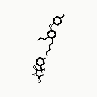 CCCc1cc(Oc2ccc(F)cc2)ccc1CCCCOc1cccc(C2(F)SC(=O)NC2=O)c1